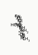 CC(F)(F)c1ccc(CC(N)CNc2nc(CO)c(-c3ccc4cnc(F)cc4c3)s2)cn1